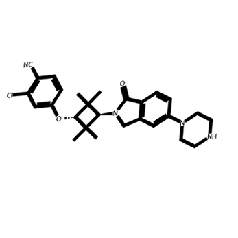 CC1(C)[C@H](Oc2ccc(C#N)c(Cl)c2)C(C)(C)[C@H]1N1Cc2cc(N3CCNCC3)ccc2C1=O